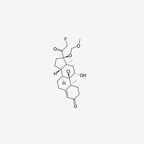 COCO[C@]1(C(=O)CF)CC[C@H]2[C@@H]3CCC4=CC(=O)CC[C@]4(C)[C@@]3(Cl)[C@@H](O)C[C@@]21C